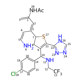 C=C(/C=C(\C=C/N)C1CC(C(NCC(F)(F)F)c2ccc(Cl)cc2)=C(c2nnc[nH]2)S1)NC(C)=O